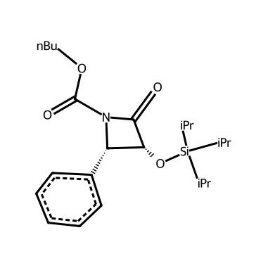 CCCCOC(=O)N1C(=O)[C@H](O[Si](C(C)C)(C(C)C)C(C)C)[C@@H]1c1ccccc1